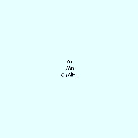 [AlH3].[Cu].[Mn].[Zn]